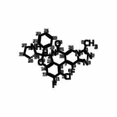 Cc1nnc2c(F)c(-c3c(Cl)c(F)cc4c3C[C@](c3ccccc3)([C@@H]3CCCN3)O4)c(C(N)=O)cn12